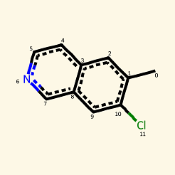 Cc1cc2ccncc2cc1Cl